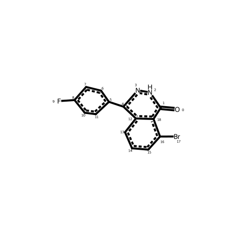 O=c1[nH]nc(-c2ccc(F)cc2)c2cccc(Br)c12